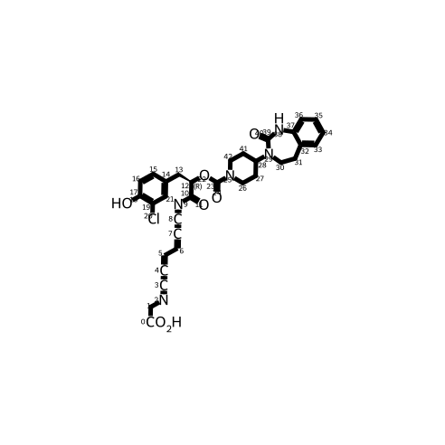 O=C(O)CN=C=C=CC=C=C=NC(=O)[C@@H](Cc1ccc(O)c(Cl)c1)OC(=O)N1CCC(N2CCc3ccccc3NC2=O)CC1